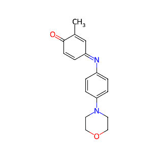 CC1=CC(=Nc2ccc(N3CCOCC3)cc2)C=CC1=O